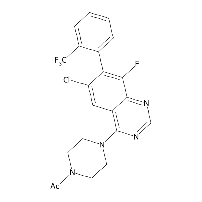 CC(=O)N1CCN(c2ncnc3c(F)c(-c4ccccc4C(F)(F)F)c(Cl)cc23)CC1